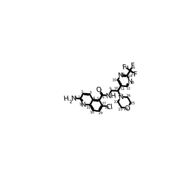 Nc1ccc2c(C(=O)NCC(c3cnc(C(F)(F)F)nc3)N3CCOCC3)c(Cl)ccc2n1